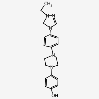 CCN1CN(c2ccc(N3CCN(c4ccc(O)cc4)CC3)cc2)C=N1